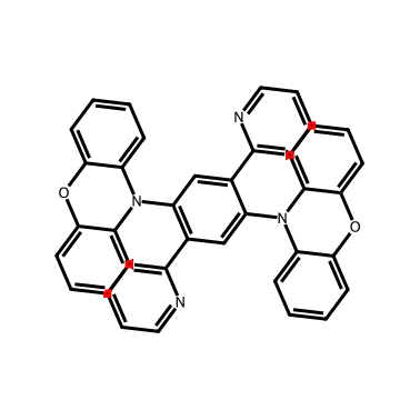 c1cnc(-c2cc(N3c4ccccc4Oc4ccccc43)c(-c3ncccn3)cc2N2c3ccccc3Oc3ccccc32)nc1